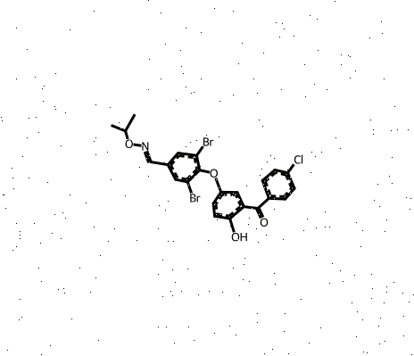 CC(C)ON=Cc1cc(Br)c(Oc2ccc(O)c(C(=O)c3ccc(Cl)cc3)c2)c(Br)c1